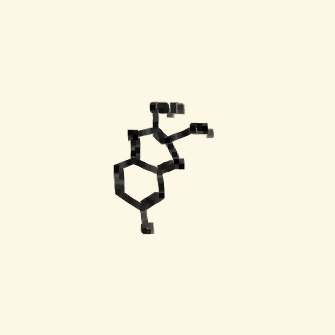 CCOC(=O)c1nc2ccc(Cl)cc2nc1C